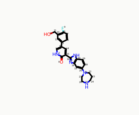 O=c1[nH]cc(-c2ccc(F)c(CO)c2)cc1-c1nc2cc(N3CCCNCC3)ccc2[nH]1